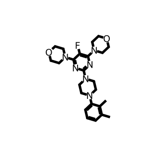 Cc1cccc(N2CCN(c3nc(N4CCOCC4)c(F)c(N4CCOCC4)n3)CC2)c1C